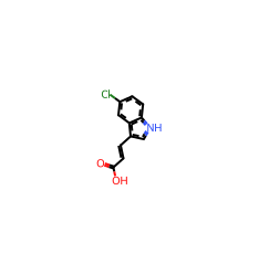 O=C(O)/C=C/c1c[nH]c2ccc(Cl)cc12